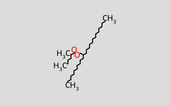 CCCCCCCCCCCCCCC(CCCCCCCCCCC)COC(=O)C(C)CCCC